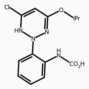 CC(C)OC1=NN(c2ccccc2NC(=O)O)NC(Cl)=C1